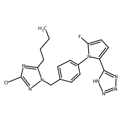 CCCCc1nc(Cl)nn1Cc1ccc(-n2c(F)ccc2-c2nnn[nH]2)cc1